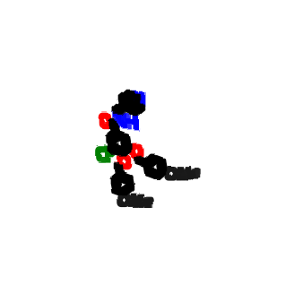 COc1ccc(COc2cc(C(=O)NCC34CCN(CC3)CC4)cc(Cl)c2OCc2ccc(OC)cc2)cc1